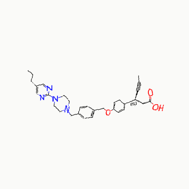 CC#C[C@@H](CC(=O)O)C1C=CC(OCc2ccc(CN3CCN(c4ncc(CCC)cn4)CC3)cc2)=CC1